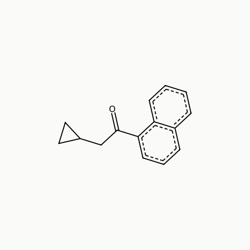 O=C(CC1CC1)c1cccc2ccccc12